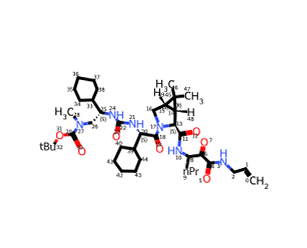 C=CCNC(=O)C(=O)C(CCC)NC(=O)[C@@H]1[C@@H]2[C@H](CN1C(=O)[C@@H](NC(=O)N[C@H](CN(C)C(=O)OC(C)(C)C)C1CCCCC1)C1CCCCC1)C2(C)C